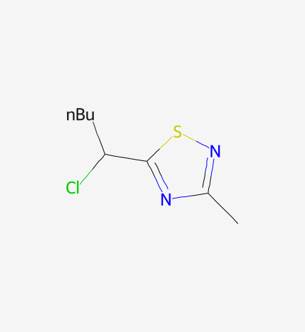 CCCCC(Cl)c1nc(C)ns1